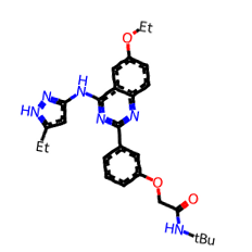 CCOc1ccc2nc(-c3cccc(OCC(=O)NC(C)(C)C)c3)nc(Nc3cc(CC)[nH]n3)c2c1